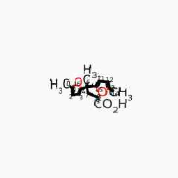 Cc1ccc(C(C)(CCC(=O)O)c2ccc(C)o2)o1